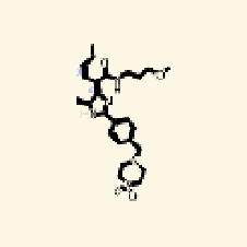 C=c1[nH]c(-c2ccc(CN3CCS(=O)(=O)CC3)cc2)n/c1=C(/C=C\CC)C(=O)NCCCOC